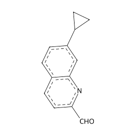 O=Cc1ccc2ccc(C3CC3)cc2n1